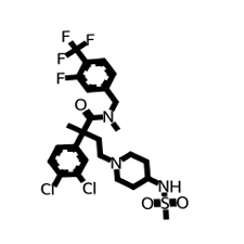 CN(Cc1ccc(C(F)(F)F)c(F)c1)C(=O)C(C)(CCN1CCC(NS(C)(=O)=O)CC1)c1ccc(Cl)c(Cl)c1